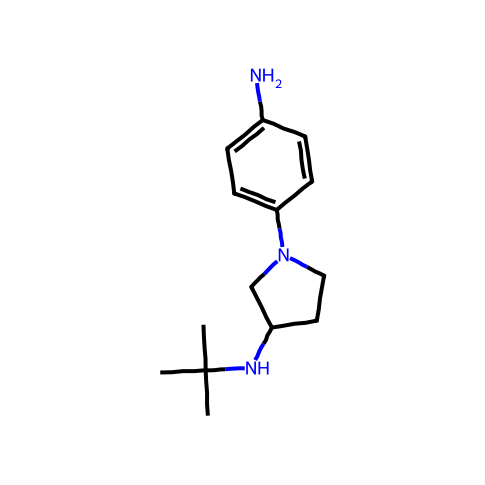 CC(C)(C)NC1CCN(c2ccc(N)cc2)C1